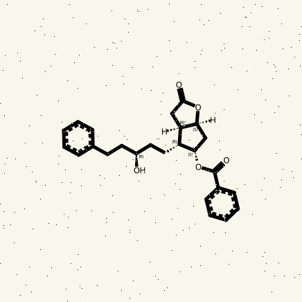 O=C1C[C@@H]2[C@@H](CC[C@@H](O)CCc3ccccc3)[C@@H](OC(=O)c3ccccc3)C[C@@H]2O1